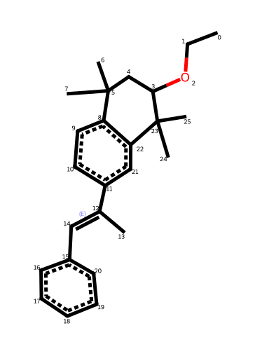 CCOC1CC(C)(C)c2ccc(/C(C)=C/c3ccccc3)cc2C1(C)C